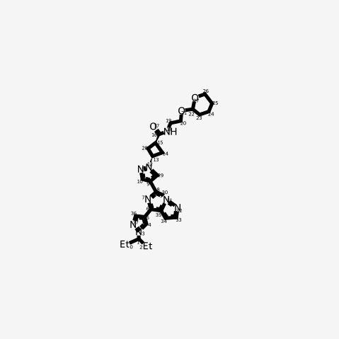 CCC(CC)n1cc(-c2nc(-c3cnn([C@H]4C[C@H](C(=O)NCCOC5CCCCO5)C4)c3)cn3nccc23)cn1